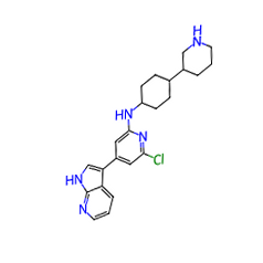 Clc1cc(-c2c[nH]c3ncccc23)cc(NC2CCC(C3CCCNC3)CC2)n1